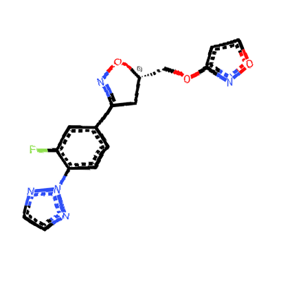 Fc1cc(C2=NO[C@H](COc3ccon3)C2)ccc1-n1nccn1